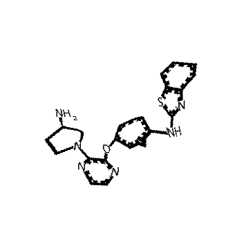 N[C@@H]1CCN(c2nccnc2Oc2ccc(Nc3nc4ccccc4s3)cc2)C1